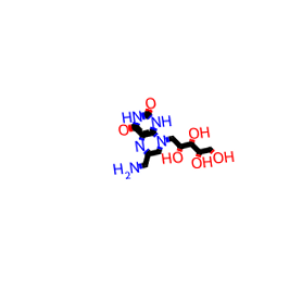 NCC1=Nc2c([nH]c(=O)[nH]c2=O)N(CC(O)C(O)C(O)CO)C1